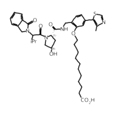 Cc1ncsc1-c1ccc(CNC(=O)[C@@H]2C[C@@H](O)CN2C(=O)C(C(C)C)N2Cc3ccccc3C2=O)c(OCCCCCCCCCCC(=O)O)c1